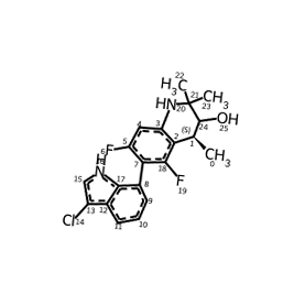 C[C@H]1c2c(cc(F)c(-c3cccc4c(Cl)c[nH]c34)c2F)NC(C)(C)C1O